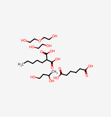 CC(O)CCO.CCCCCC(C(=O)O)C(=O)O.O=C(O)CCCCC(=O)O.OCCO.OCCOCCO